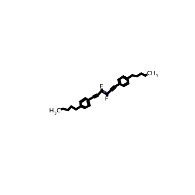 CCCCCc1ccc(C#C/C(F)=C(\F)C#Cc2ccc(CCCCC)cc2)cc1